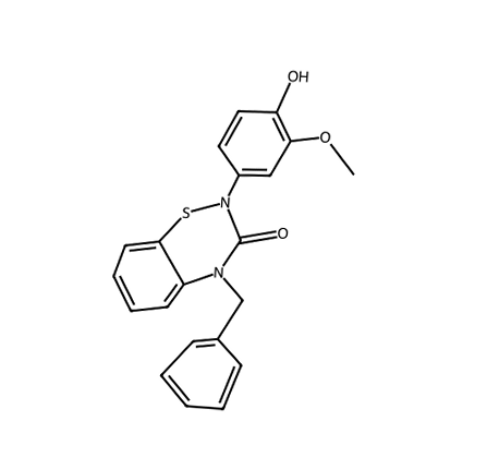 COc1cc(N2Sc3ccccc3N(Cc3ccccc3)C2=O)ccc1O